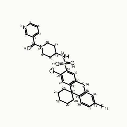 O=C(c1cccnc1)N1CCC(NS(=O)(=O)c2cc3c(cc2Cl)C2(CCCCC2)c2ccc(F)cc2S3)CC1